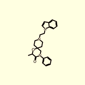 CC1OC2(CCN(CCn3ccc4ccccc43)CC2)CN(c2ccccc2)C1=O